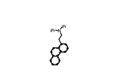 CC(C)N(CCc1cccc2c1ccc1ccccc12)C(C)C